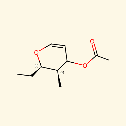 CC[C@H]1OC=CC(OC(C)=O)[C@H]1C